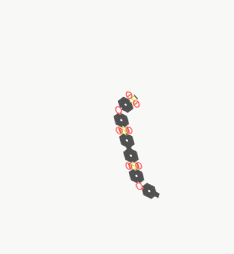 Cc1ccc(Oc2ccc(S(=O)(=O)c3ccc(-c4ccc(S(=O)(=O)c5ccc(Oc6ccc(S(C)(=O)=O)cc6)cc5)cc4)cc3)cc2)cc1